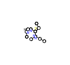 C1=CCCC(C2=CC=C(c3cc(-c4cc(-c5ccc6c(n5)C5N=C(c7ccccc7)CC[C@H]5C=C6)c5sc6c(c5c4)CCC=C6c4ccccc4)nc(C4=CCCC=C4)n3)CC2)=C1